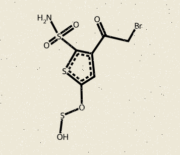 NS(=O)(=O)c1sc(OSO)cc1C(=O)CBr